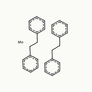 [Mo].c1ccc(CCc2ccccc2)cc1.c1ccc(CCc2ccccc2)cc1